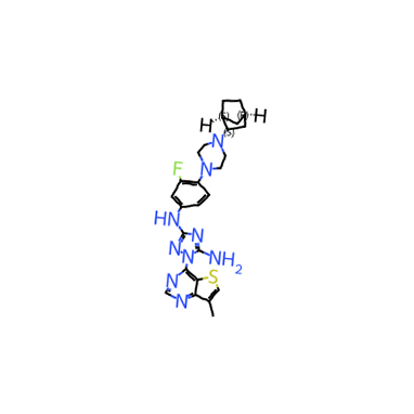 Cc1csc2c(-n3nc(Nc4ccc(N5CCN([C@H]6C[C@@H]7CC[C@H]6C7)CC5)c(F)c4)nc3N)ncnc12